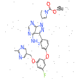 Cc1ncc(COc2cc(F)cc(Oc3ccc(-c4nn([C@@H]5CCN(C(=O)OC(C)(C)C)C5)c5ncnc(N)c45)cc3)c2)cn1